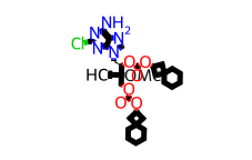 C#CC(COC(=O)OC1CC2(CCCCC2)C1)(OC)[C@H](Cn1cnc2c(N)nc(Cl)nc21)OC(=O)OC1CC2(CCCCC2)C1